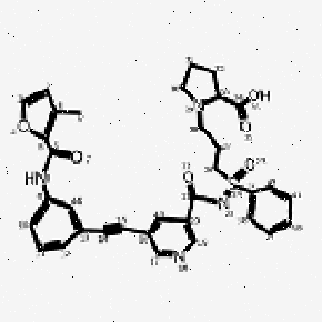 Cc1ccoc1C(=O)Nc1cccc(C#Cc2cncc(C(=O)N=S(=O)(CCCN3CCCC3C(=O)O)c3ccccc3)c2)c1